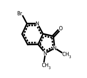 Cn1c(=O)c2nc(Br)ccc2n1C